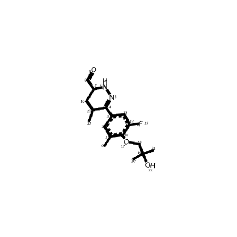 Cc1cc(C2=NNC(C=O)CC2C)cc(F)c1OCC(C)(C)O